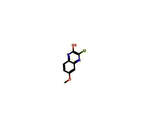 COc1ccc2nc(O)c(Cl)nc2c1